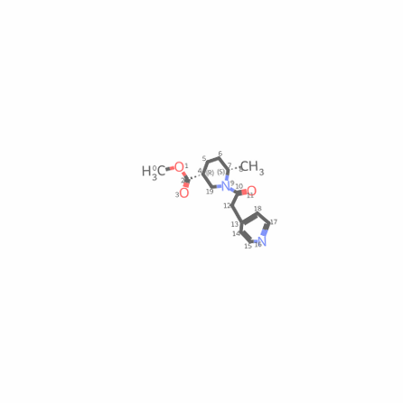 COC(=O)[C@@H]1CC[C@H](C)N(C(=O)Cc2ccncc2)C1